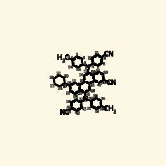 Cc1ccc(N(c2ccc(C#N)cc2)c2cc3c4cc(C5CCCCC5)ccc4c(N(c4ccc(C)cc4)c4ccc(C#N)cc4)cc3c3cc(C#N)ccc23)cc1